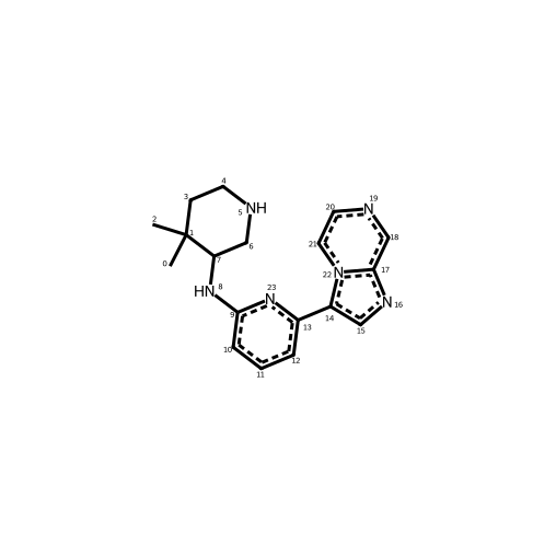 CC1(C)CCNCC1Nc1cccc(-c2cnc3cnccn23)n1